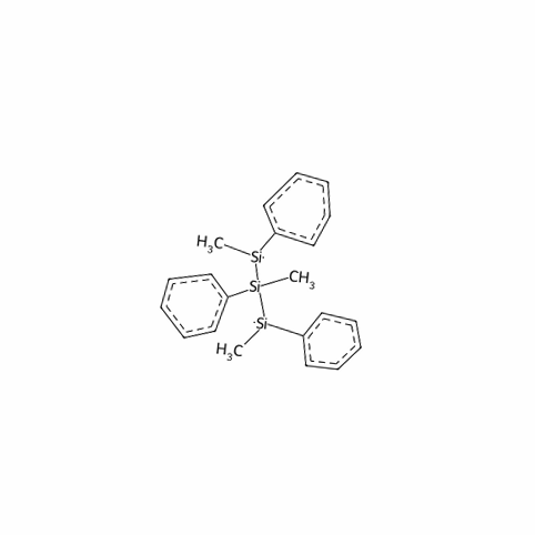 C[Si](c1ccccc1)[Si](C)(c1ccccc1)[Si](C)c1ccccc1